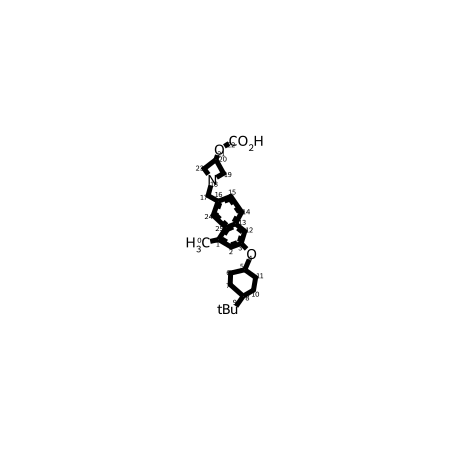 Cc1cc(OC2CCC(C(C)(C)C)CC2)cc2ccc(CN3CC(OC(=O)O)C3)cc12